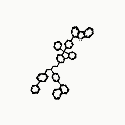 c1ccc(-c2ccc(CC(CCc3ccc4c(c3)-c3ccccc3C4(c3ccccc3)c3ccc(-c4cccc5c4oc4ccccc45)cc3)c3ccc(-c4cccc5ccccc45)cc3)cc2)cc1